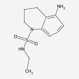 CCNS(=O)(=O)N1CCCc2c(N)cccc21